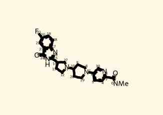 CNC(=O)c1ccc(N2CCC(N3CCC(c4nc5ccc(F)cc5c(=O)[nH]4)C3)CC2)cn1